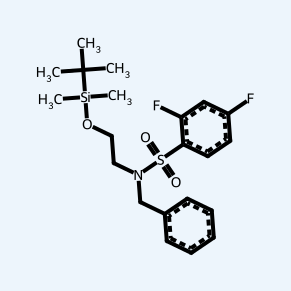 CC(C)(C)[Si](C)(C)OCCN(Cc1ccccc1)S(=O)(=O)c1ccc(F)cc1F